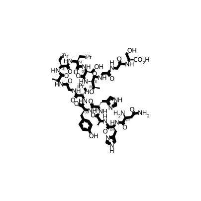 CC(C)C[C@H](NC(=O)[C@H](C)NC(=O)CNC(=O)[C@H](CC(C)C)NC(=O)[C@H](Cc1ccc(O)cc1)NC(=O)[C@H](Cc1c[nH]cn1)NC(=O)[C@H](C)NC(=O)[C@H](Cc1c[nH]cn1)NC(=O)[C@@H](N)CC(N)=O)C(=O)N[C@@H](CC(C)C)C(=O)N[C@@H](CO)C(=O)N[C@H](C(=O)NCC(=O)NCC(=O)N[C@@H](CO)C(=O)O)[C@@H](C)O